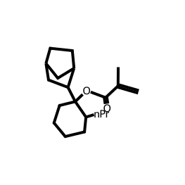 C=C(C)C(=O)OC1(C2CC3CCC2C3)CCCCC1CCC